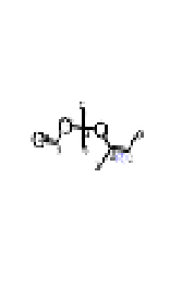 C/C=C(/C)OC(C)(C)OC=O